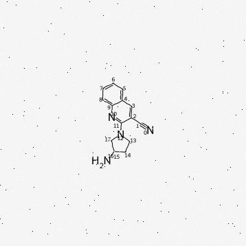 N#Cc1cc2ccccc2nc1N1CCC(N)C1